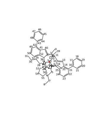 CCC[CH2][Zr]([CH2]CCC)([CH]1C(CC)=Cc2c(-c3ccccc3)cccc21)[Si]1([Zr]([CH2]CCC)([CH2]CCC)[CH]2C(CC)=Cc3c(-c4ccccc4)cccc32)CCCC1